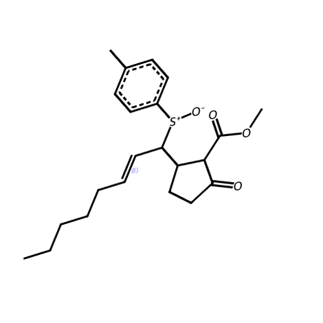 CCCCC/C=C/C(C1CCC(=O)C1C(=O)OC)[S+]([O-])c1ccc(C)cc1